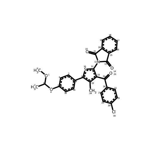 COC(C)Oc1ccc(-c2sc(N3C(=O)c4ccccc4C3=O)c(C(=O)c3ccc(Cl)cc3)c2C)cc1